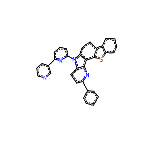 c1ccc(-c2ccc3c(n2)c2c4sc5ccccc5c4ccc2n3-c2cccc(-c3cccnc3)n2)cc1